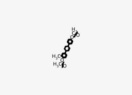 Cc1cc(C2C=CC(c3ccc(OCC4(C)CO4)cc3)CC2)ccc1OCC1(C)CO1